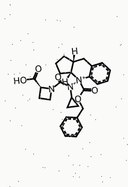 O=C(O)[C@@H]1CCN1C(=O)N(C1CC1)[N@@+]1(C(=O)OCc2ccccc2)c2ccccc2C[C@H]2CCC[C@H]21